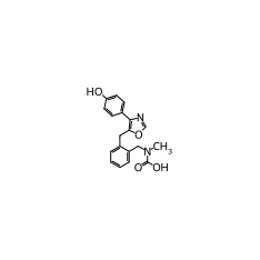 CN(Cc1ccccc1Cc1ocnc1-c1ccc(O)cc1)C(=O)O